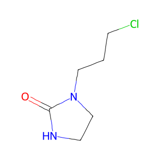 O=C1NCCN1CCCCl